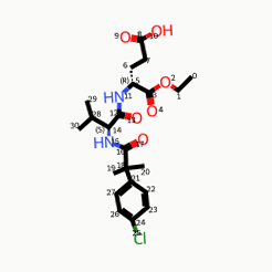 CCOC(=O)[C@@H](CCC(=O)O)NC(=O)[C@@H](NC(=O)C(C)(C)c1ccc(Cl)cc1)C(C)C